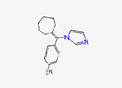 N#Cc1ccc(C(=C2CCCCCC2)n2ccnc2)cc1